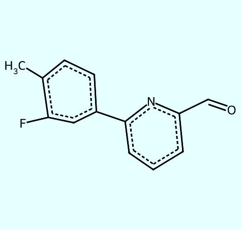 Cc1ccc(-c2cccc(C=O)n2)cc1F